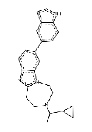 CC(C1CC1)N1CCc2nc3ccc(-c4ccc5[nH]ccc5c4)cc3n2CC1